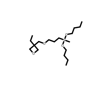 CCCCO[Si](C)(CCCOCC1(CC)COC1)OCCCC